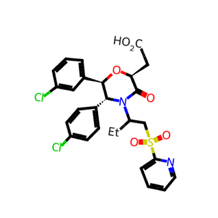 CCC(CS(=O)(=O)c1ccccn1)N1C(=O)[C@H](CC(=O)O)O[C@H](c2cccc(Cl)c2)[C@H]1c1ccc(Cl)cc1